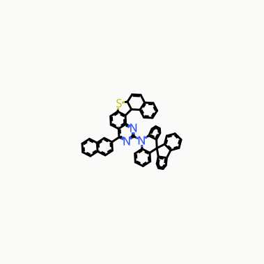 C1=CC2Sc3ccc4c(-c5ccc6ccccc6c5)nc(N5c6ccccc6C6(c7ccccc7-c7ccccc76)c6ccccc65)nc4c3C2c2ccccc21